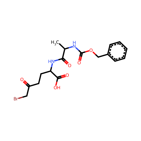 CC(NC(=O)OCc1ccccc1)C(=O)NC(CCC(=O)CBr)C(=O)O